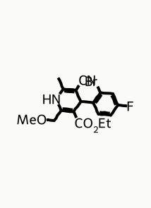 CCOC(=O)C1=C(COC)NC(C)=C(C#N)C1c1ccc(F)cc1Br